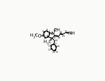 COc1ccc2c(c1)C(C)(Cc1ccccc1)/C(=C/C=C/C=N)N2C